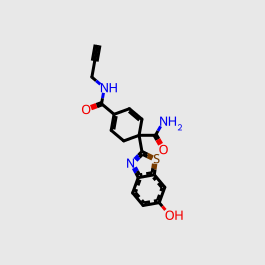 C#CCNC(=O)C1=CCC(C(N)=O)(c2nc3ccc(O)cc3s2)C=C1